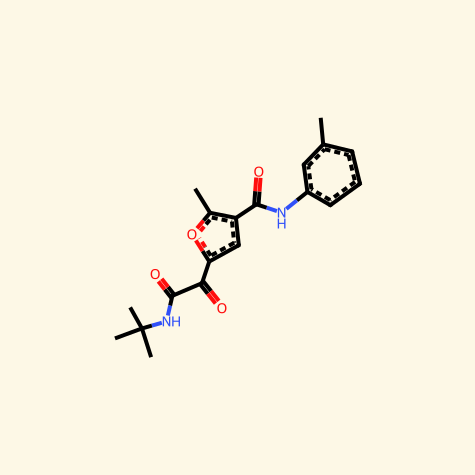 Cc1cccc(NC(=O)c2cc(C(=O)C(=O)NC(C)(C)C)oc2C)c1